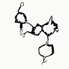 CC(=O)N1CCN(c2ncnc3cc(-n4cc(Cl)ccc4=O)c(Cl)cc23)CC1